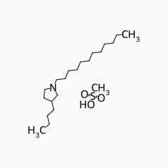 CCCCCCCCCCCCN1CCC(CCCC)C1.CS(=O)(=O)O